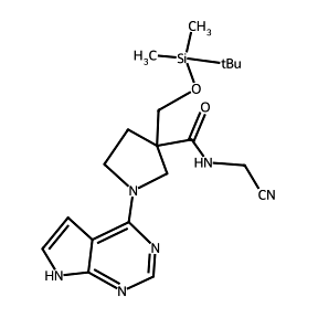 CC(C)(C)[Si](C)(C)OCC1(C(=O)NCC#N)CCN(c2ncnc3[nH]ccc23)C1